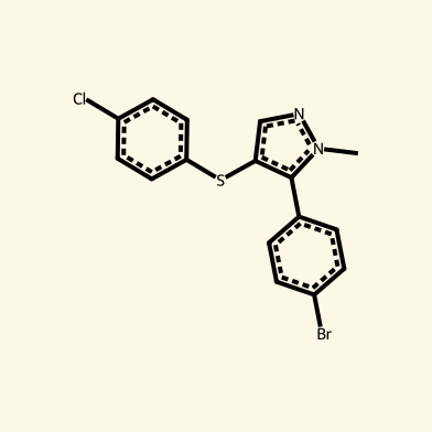 Cn1ncc(Sc2ccc(Cl)cc2)c1-c1ccc(Br)cc1